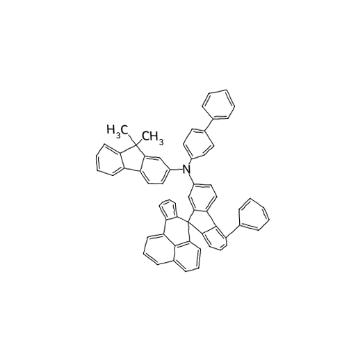 CC1(C)c2ccccc2-c2ccc(N(c3ccc(-c4ccccc4)cc3)c3ccc4c(c3)C3(c5ccccc5-c5cccc6cccc3c56)c3cccc(-c5ccccc5)c3-4)cc21